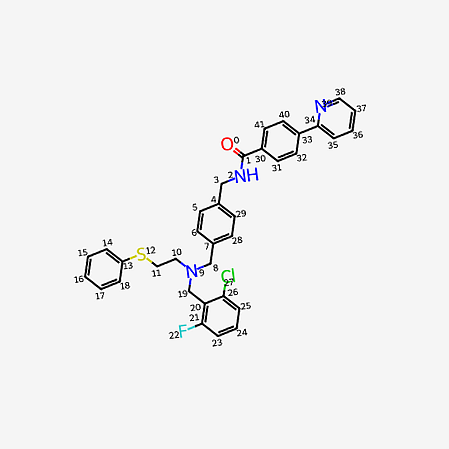 O=C(NCc1ccc(CN(CCSc2ccccc2)Cc2c(F)cccc2Cl)cc1)c1ccc(-c2ccccn2)cc1